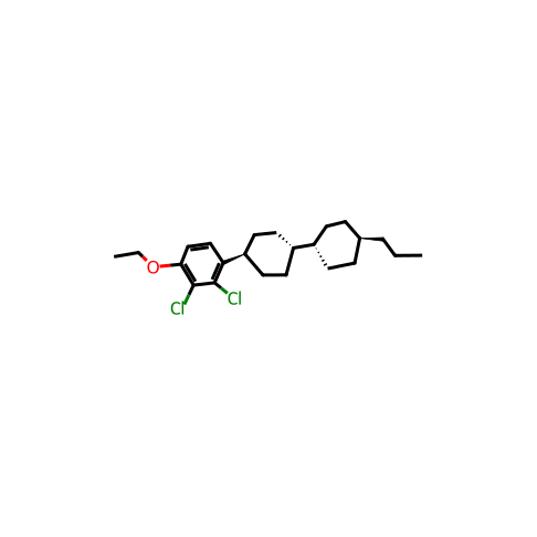 CCC[C@H]1CC[C@H]([C@H]2CC[C@H](c3ccc(OCC)c(Cl)c3Cl)CC2)CC1